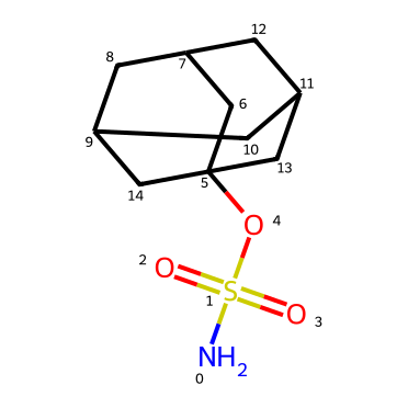 NS(=O)(=O)OC12CC3CC(CC(C3)C1)C2